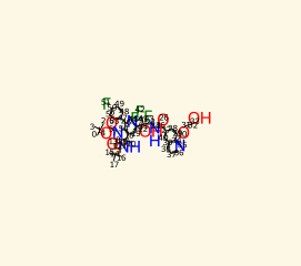 CC(C)(C)OC(=O)N1C[C@@](C)(N[S+]([O-])C(C)(C)C)c2cc(C(O)(CNC(=O)c3cc(OCCO)c4ncccc4c3)C(F)(F)F)nc(-c3ccc(F)cc3)c21